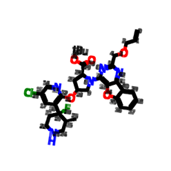 C=CCOCc1nc(N2C[C@@H](Oc3ncc(Cl)cc3[C@@]3(F)CCNC[C@@H]3C)C[C@H]2C(=O)OC(C)(C)C)c2oc3ccccc3c2n1